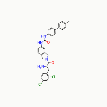 Cc1ccc(-c2ccc(NC(=O)Nc3ccc4c(c3)CN(C(=O)[C@H](N)Cc3ccc(Cl)cc3Cl)C4)cc2)cc1